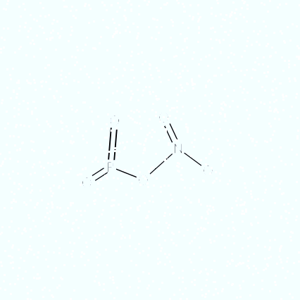 O=[N+]([O-])OP(=O)=O